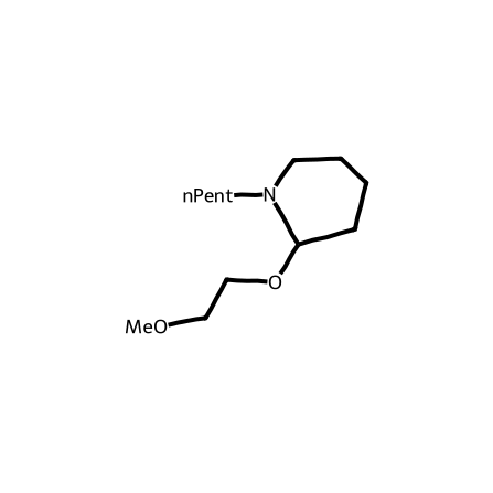 CCCCCN1CCCCC1OCCOC